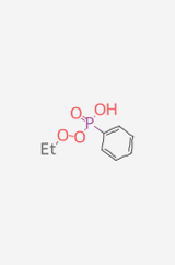 CCOOP(=O)(O)c1ccccc1